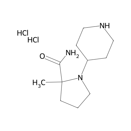 CC1(C(N)=O)CCCN1C1CCNCC1.Cl.Cl